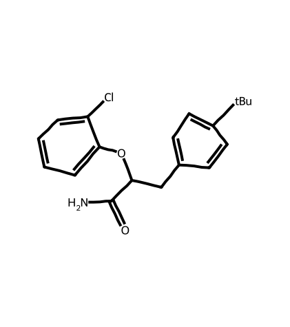 CC(C)(C)c1ccc(CC(Oc2ccccc2Cl)C(N)=O)cc1